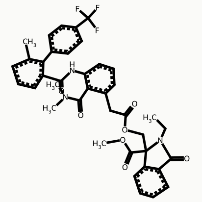 CCN1C(=O)c2ccccc2C1(COC(=O)Cc1cccc(NC(=O)c2cccc(C)c2-c2ccc(C(F)(F)F)cc2)c1C(=O)N(C)C)C(=O)OC